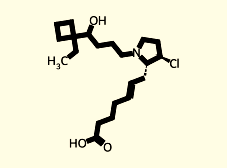 CCC1(C(O)CCCN2CC[C@@H](Cl)[C@@H]2CC=CCCCC(=O)O)CCC1